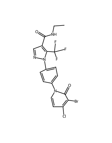 CCNC(=O)c1cnn(-c2ccc(-n3ccc(Cl)c(Br)c3=O)cc2)c1C(F)(F)F